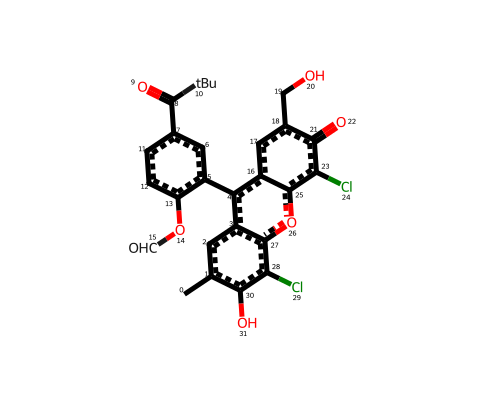 Cc1cc2c(-c3cc(C(=O)C(C)(C)C)ccc3OC=O)c3cc(CO)c(=O)c(Cl)c-3oc2c(Cl)c1O